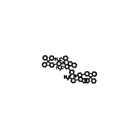 Cc1cc(-c2ccc(N(c3ccc(-c4ccc5c(c4)C(c4ccccc4)(c4ccccc4)c4ccccc4-5)cc3)c3c(C)cccc3-c3ccc4ccccc4c3)c(C)c2)ccc1N(c1ccc(-c2ccc3c(c2)C(c2ccccc2)(c2ccccc2)c2ccccc2-3)cc1)c1c(C)cccc1-c1ccc2ccccc2c1